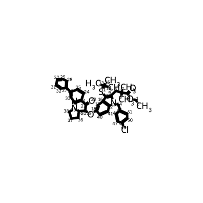 CCOC(=O)C(C)(C)Cc1c(SC(C)(C)C)c2cc(OC(C(=O)c3ccc(-c4ccccc4)cc3)C3CCCN3)ccc2n1Cc1ccc(Cl)cc1